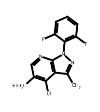 CCOC(=O)c1cnc2c(c(C)nn2-c2c(F)cccc2F)c1Cl